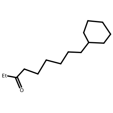 CCC(=O)CCCCCCC1CCCCC1